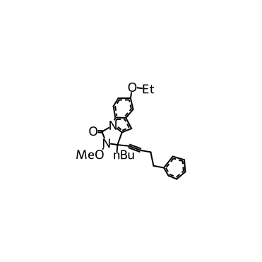 CCCCC1(C#CCCc2ccccc2)c2cc3cc(OCC)ccc3n2C(=O)N1OC